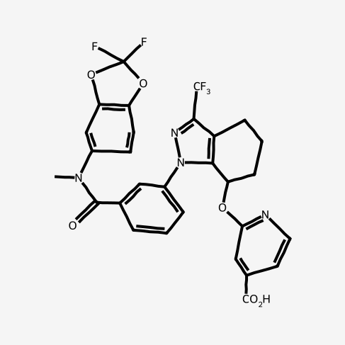 CN(C(=O)c1cccc(-n2nc(C(F)(F)F)c3c2C(Oc2cc(C(=O)O)ccn2)CCC3)c1)c1ccc2c(c1)OC(F)(F)O2